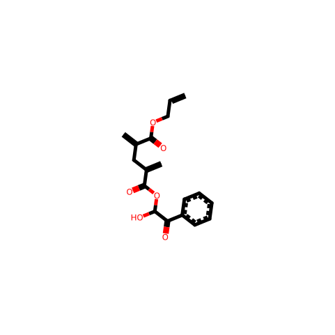 C=CCOC(=O)C(=C)CC(=C)C(=O)OC(O)C(=O)c1ccccc1